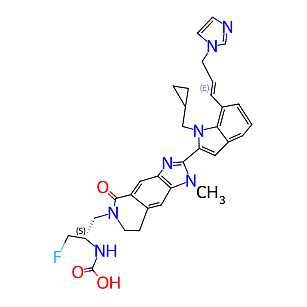 Cn1c(-c2cc3cccc(/C=C/Cn4ccnc4)c3n2CC2CC2)nc2cc3c(cc21)CCN(C[C@@H](CF)NC(=O)O)C3=O